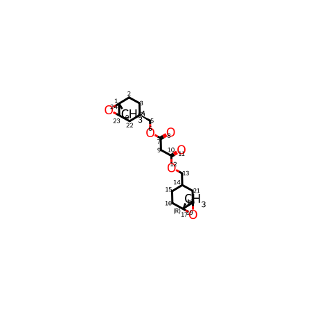 CC12CC[C@@H](COC(=O)CC(=O)OCC3CC[C@@]4(C)OC4C3)CC1O2